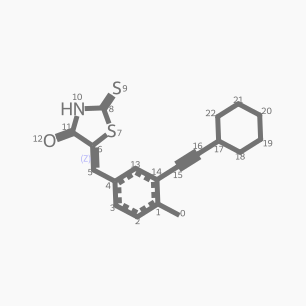 Cc1ccc(/C=C2\SC(=S)NC2=O)cc1C#CC1CCCCC1